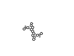 c1ccc2c(c1)sc1ccc(-c3cc4cc5c(cc(-c6ccc7sc8ccccc8c7c6)c6c5ccc5c7ccccc7sc56)cc4c4ccc5c6ccccc6sc5c34)cc12